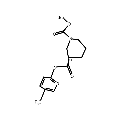 CC(C)(C)OC(=O)N1CCC[C@@H](C(=O)Nc2ccc(C(F)(F)F)cn2)C1